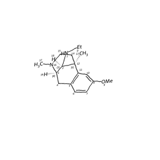 CCN[C@@H]1[C@H]2Cc3ccc(OC)cc3[C@]1(C)CCN2C